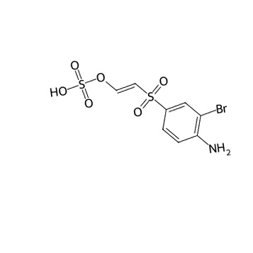 Nc1ccc(S(=O)(=O)C=COS(=O)(=O)O)cc1Br